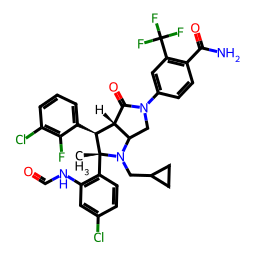 C[C@@]1(c2ccc(Cl)cc2NC=O)[C@@H](c2cccc(Cl)c2F)[C@@H]2C(=O)N(c3ccc(C(N)=O)c(C(F)(F)F)c3)CC2N1CC1CC1